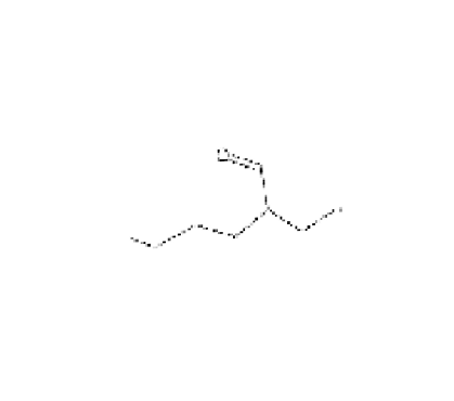 [CH2]CC(C=O)CCCC